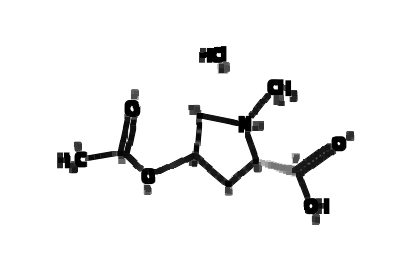 CC(=O)OC1C[C@@H](C(=O)O)N(C)C1.Cl